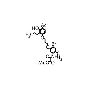 COC(=O)C(=O)Nc1cc(OCCCOc2ccc(C(C)=O)c(O)c2CCC(F)(F)F)c(Br)cc1C